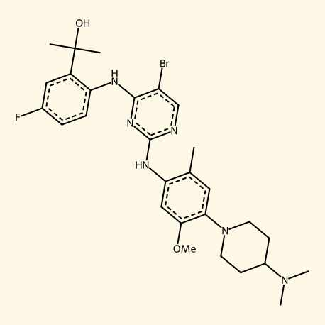 COc1cc(Nc2ncc(Br)c(Nc3ccc(F)cc3C(C)(C)O)n2)c(C)cc1N1CCC(N(C)C)CC1